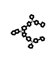 c1ccc(-c2ccc(N(c3ccccc3)c3ccc(-c4ccc5c(c4)c4cc(-c6ccc(N(c7ccccc7)c7ccc(-c8ccccc8)cc7)cc6)ccc4n5-c4ccc5ccccc5c4)cc3)cc2)cc1